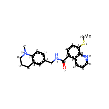 CSSc1ccc(C(=O)NCc2ccc3c(c2)CCCN3C)c2cccnc12